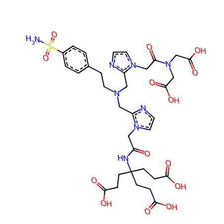 NS(=O)(=O)c1ccc(CCN(Cc2nccn2CC(=O)NC(CCC(=O)O)(CCC(=O)O)CCC(=O)O)Cc2nccn2CC(=O)N(CC(=O)O)CC(=O)O)cc1